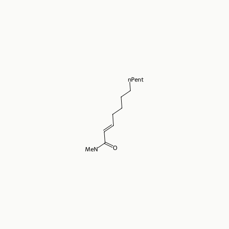 CCCCCCCCC/C=C/C(=O)NC